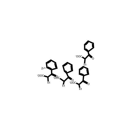 CCC(C(=O)[O-])C(=O)c1ccccc1.CCC(C(=O)[O-])C(=O)c1ccccc1.CCC(C(=O)[O-])C(=O)c1ccccc1.CCC(C(=O)[O-])C(=O)c1ccccc1.[Zr+4]